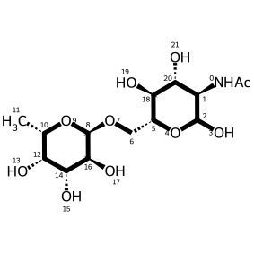 CC(=O)N[C@H]1C(O)O[C@H](CO[C@@H]2O[C@@H](C)[C@@H](O)[C@@H](O)[C@@H]2O)[C@@H](O)[C@@H]1O